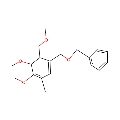 COCC1C(COCc2ccccc2)=CC(C)=C(OC)C1OC